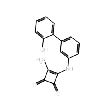 Nc1c(Nc2cccc(-c3ccccc3O)c2)c(=O)c1=O